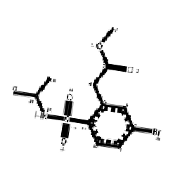 COC(=O)Cc1cc(Br)ccc1S(=O)(=O)NC(C)C